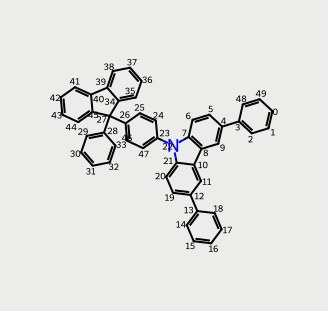 c1ccc(-c2ccc3c(c2)c2cc(-c4ccccc4)ccc2n3-c2ccc(C3(c4ccccc4)c4ccccc4-c4ccccc43)cc2)cc1